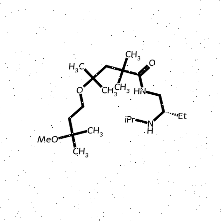 CC[C@@H](CNC(=O)C(C)(C)CC(C)(C)OCCC(C)(C)OC)NC(C)C